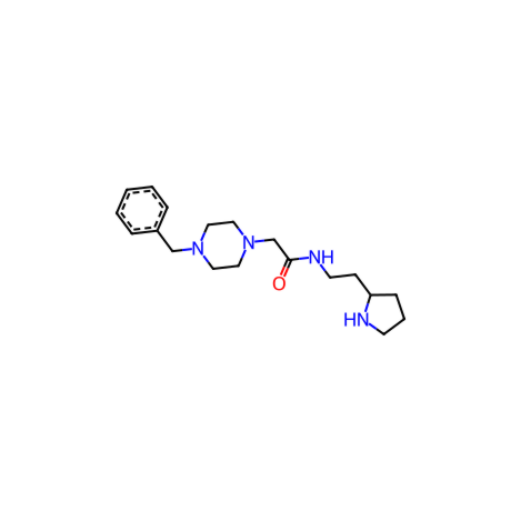 O=C(CN1CCN(Cc2ccccc2)CC1)NCCC1CCCN1